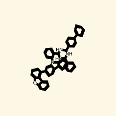 c1ccc(-c2ccc(C3NC(c4ccccc4)NC(c4ccccc4-n4c5ccccc5c5ccc(-c6cccc7oc8ccccc8c67)cc54)N3)cc2)cc1